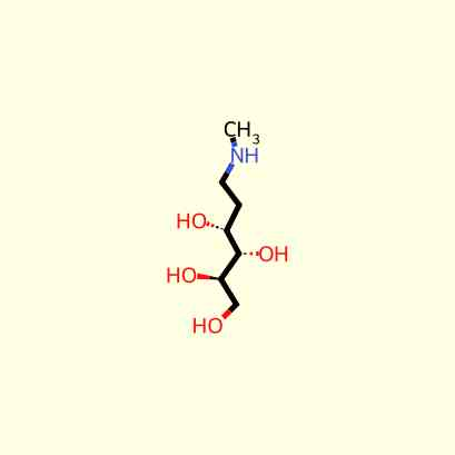 CNCC[C@@H](O)[C@H](O)[C@H](O)CO